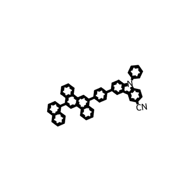 N#Cc1ccc2c(c1)c1cc(-c3ccc(-c4cc5c6ccccc6c(-c6cccc7ccccc67)cc5c5ccccc45)cc3)ccc1n2-c1ccccc1